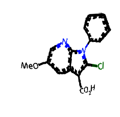 COc1cnc2c(c1)c(C(=O)O)c(Cl)n2-c1ccccc1